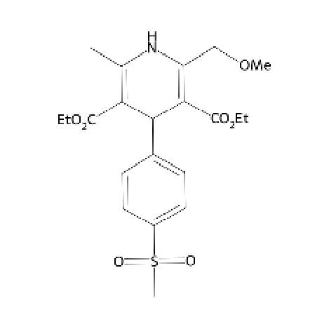 CCOC(=O)C1=C(C)NC(COC)=C(C(=O)OCC)C1c1ccc(S(C)(=O)=O)cc1